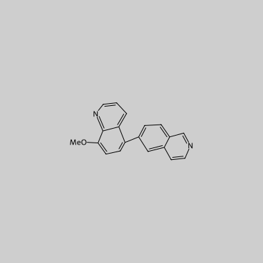 COc1ccc(-c2ccc3cnccc3c2)c2cccnc12